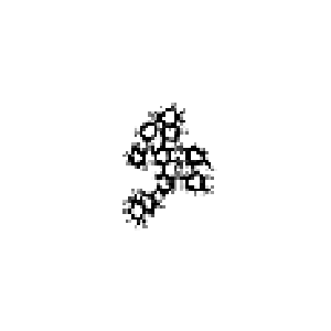 Cc1ccc(Nc2cc3oc4cc5c(cc4c3cc2-c2cc(N(c3ccccc3)c3ccccc3)c3c4cc6c(cc4n4c3c2Bc2cc(C)ccc2-4)C(C)(C)CCC6(C)C)C(C)(C)CCC5(C)C)cc1